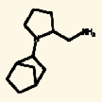 NCC1CCCN1C1CC2CCC1C2